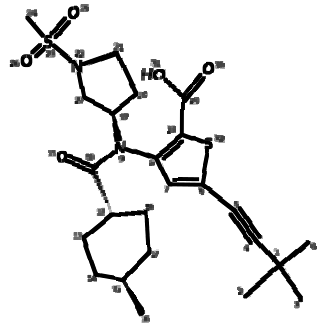 CC(C)(C)C#Cc1cc(N(C(=O)[C@H]2CC[C@H](C)CC2)[C@@H]2CCN(S(C)(=O)=O)C2)c(C(=O)O)s1